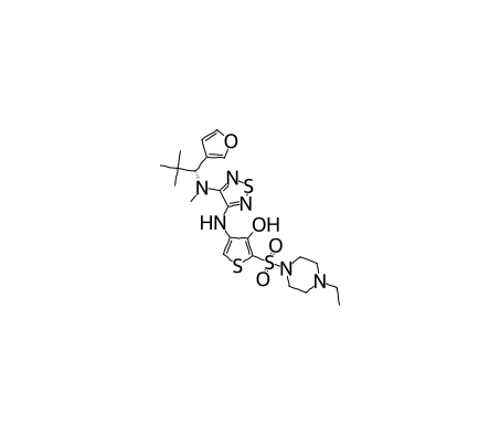 CCN1CCN(S(=O)(=O)c2scc(Nc3nsnc3N(C)[C@@H](c3ccoc3)C(C)(C)C)c2O)CC1